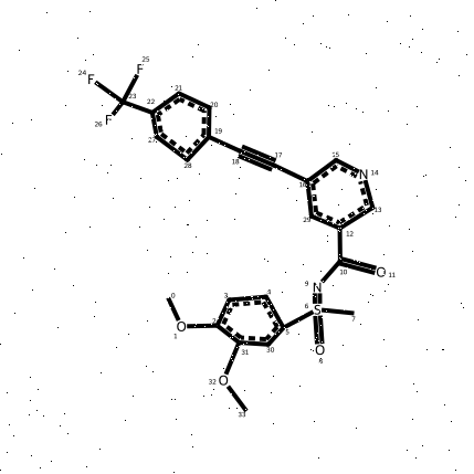 COc1ccc(S(C)(=O)=NC(=O)c2cncc(C#Cc3ccc(C(F)(F)F)cc3)c2)cc1OC